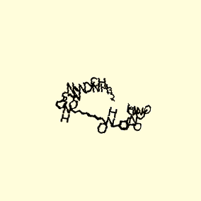 CC1(N)CCN(c2cnc(Sc3cccc(NC(=O)CCCCCCCCC(=O)NCc4ccc5c(c4)CN(C4CCC(=O)NC4=O)C5=O)c3)cn2)CC1